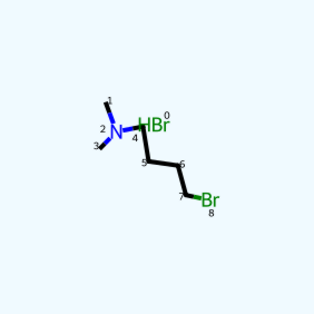 Br.CN(C)CCCCBr